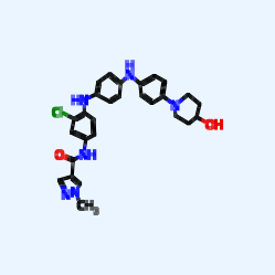 Cn1cc(C(=O)Nc2ccc(Nc3ccc(Nc4ccc(N5CCC(O)CC5)cc4)cc3)c(Cl)c2)cn1